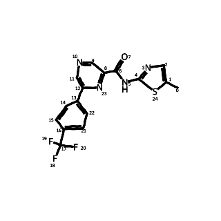 Cc1cnc(NC(=O)c2cncc(-c3ccc(C(F)(F)F)cc3)n2)s1